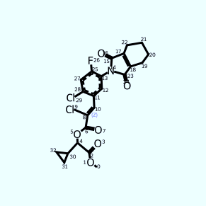 COC(=O)C(OC(=O)/C(Cl)=C/c1cc(N2C(=O)C3=C(CCCC3)C2=O)c(F)cc1Cl)C1CC1